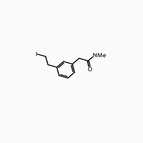 CNC(=O)Cc1cccc(CCI)c1